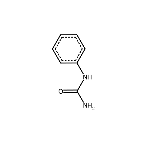 NC(=O)Nc1c[c]ccc1